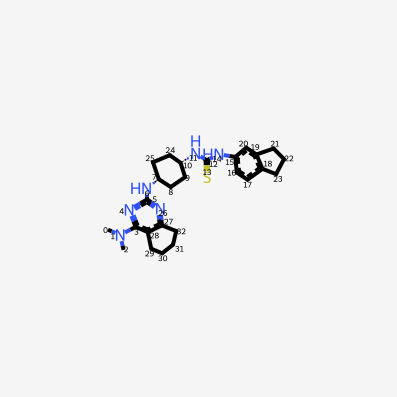 CN(C)c1nc(N[C@H]2CC[C@@H](NC(=S)Nc3ccc4c(c3)CCC4)CC2)nc2c1CCCC2